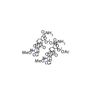 CO/N=C(/C(=O)N[C@@H]1C(=O)N2C(C(=O)OC(C)OC(C)=O)=C(COC(N)=O)CS[C@H]12)c1ccco1.CO/N=C(/C(=O)N[C@@H]1C(=O)N2C(C(=O)OC(C)OC(C)=O)=C(COC(N)=O)CS[C@H]12)c1ccco1